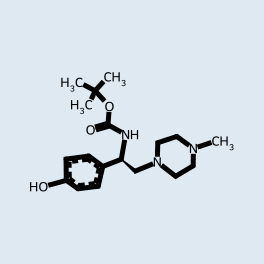 CN1CCN(C[C@H](NC(=O)OC(C)(C)C)c2ccc(O)cc2)CC1